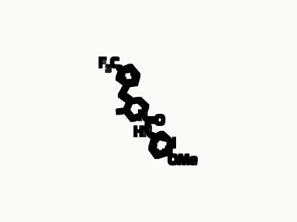 COc1ccc(NC(=O)N2CCC(=Cc3cccc(C(F)(F)F)c3)C(C)C2)cn1